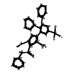 CSc1nn(-c2nc(C(F)(F)F)nc(-c3ccccc3)c2-c2ccccc2)c(N)c1C(=O)Nc1ccccc1